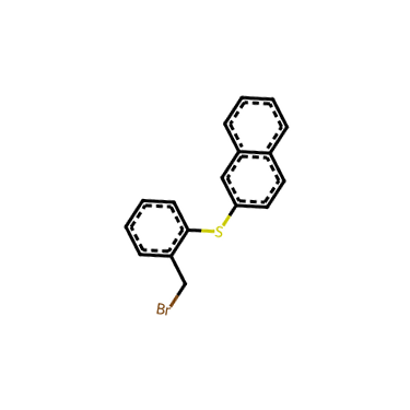 BrCc1ccccc1Sc1ccc2ccccc2c1